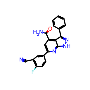 N#Cc1cc(-c2cc(C(N)=O)c3c(-c4ccccc4)n[nH]c3n2)ccc1F